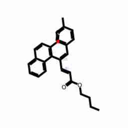 CCCCOC(=O)/C=C/C(=C/c1ccc(C)cc1)c1c(C=O)ccc2ccccc12